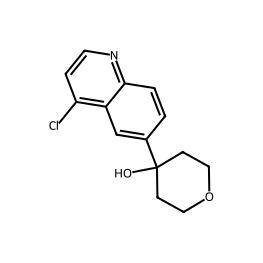 OC1(c2ccc3nccc(Cl)c3c2)CCOCC1